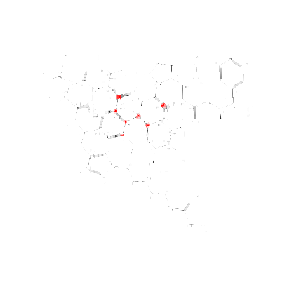 CC[C@H](C)[C@@H]([C@@H](CC(=O)N1CCC[C@H]1[C@H](OC)[C@@H](C)C(=O)N[C@H](C)[C@@H](O)c1ccccc1)OC)N(C)C(=O)[C@@H](NC(=O)[C@H](C(C)C)N(C)C(=O)OC(Cc1cn(CCCCCNC(=O)CBr)nn1)c1ccc(OC2O[C@H](CO)[C@H](O)[C@H](O)[C@H]2O)c([N+](=O)[O-])c1)C(C)C